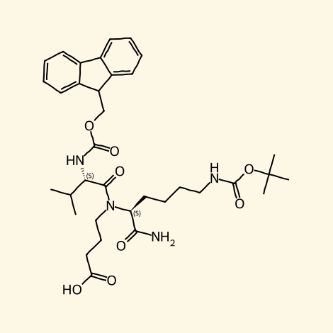 CC(C)[C@H](NC(=O)OCC1c2ccccc2-c2ccccc21)C(=O)N(CCCC(=O)O)[C@@H](CCCCNC(=O)OC(C)(C)C)C(N)=O